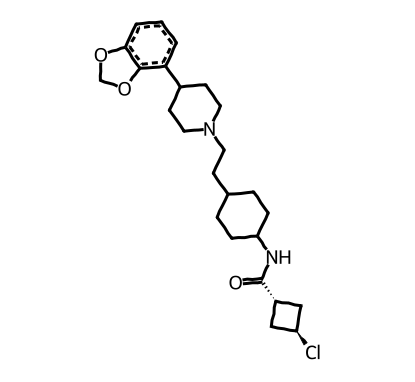 O=C(NC1CCC(CCN2CCC(c3cccc4c3OCO4)CC2)CC1)[C@H]1C[C@H](Cl)C1